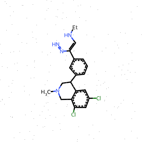 CCN/C=C(\N=N)c1cccc(C2CN(C)Cc3c(Cl)cc(Cl)cc32)c1